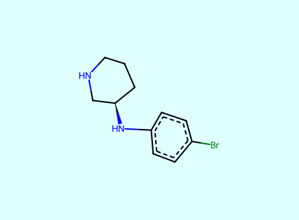 Brc1ccc(N[C@@H]2CCCNC2)cc1